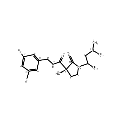 CC(CN(C)C)N1CC[C@](O)(C(=O)NCc2cc(F)cc(Cl)c2)C1=O